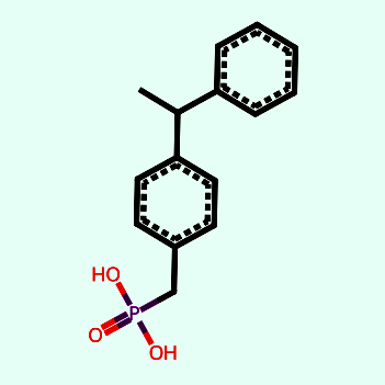 CC(c1ccccc1)c1ccc(CP(=O)(O)O)cc1